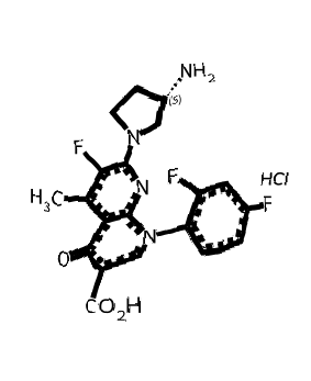 Cc1c(F)c(N2CC[C@H](N)C2)nc2c1c(=O)c(C(=O)O)cn2-c1ccc(F)cc1F.Cl